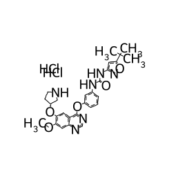 COc1cc2ncnc(Oc3cccc(NC(=O)Nc4cc(C(C)(C)C)on4)c3)c2cc1O[C@H]1CCNC1.Cl.Cl